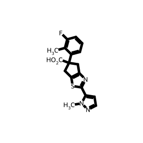 Cc1c(F)cccc1C1(C(=O)O)Cc2nc(-c3ccnn3C)sc2C1